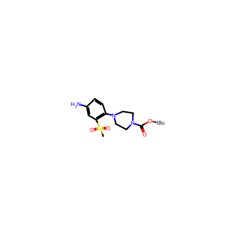 CC(C)(C)OC(=O)N1CCN(c2ccc(N)cc2S(C)(=O)=O)CC1